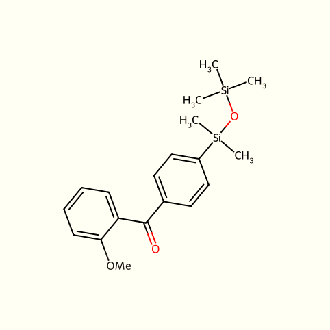 COc1ccccc1C(=O)c1ccc([Si](C)(C)O[Si](C)(C)C)cc1